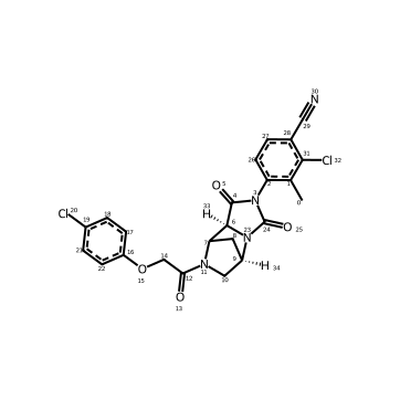 Cc1c(N2C(=O)[C@@H]3C4C[C@H](CN4C(=O)COc4ccc(Cl)cc4)N3C2=O)ccc(C#N)c1Cl